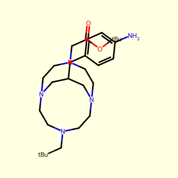 CC(C)(C)CN1CCN2CCN(CC(=O)OC(C)(C)C)CCN(CC1)CC(Cc1ccc(N)cc1)C2